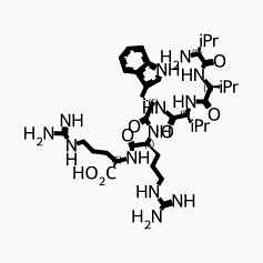 CC(C)[C@H](N)C(=O)N[C@H](C(=O)N[C@H](C(=O)N[C@@H](Cc1c[nH]c2ccccc12)C(=O)N[C@@H](CCCNC(=N)N)C(=O)N[C@@H](CCCNC(=N)N)C(=O)O)C(C)C)C(C)C